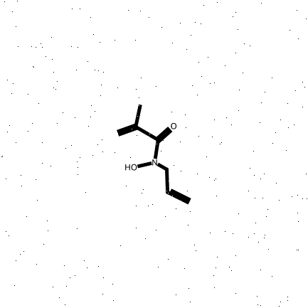 C=CCN(O)C(=O)C(=C)C